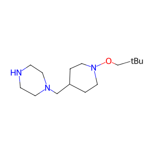 CC(C)(C)CON1CCC(CN2CCNCC2)CC1